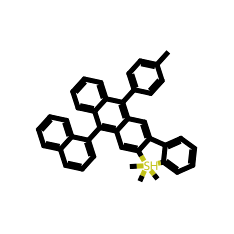 Cc1ccc(-c2c3ccccc3c(-c3cccc4ccccc34)c3cc4c(cc23)-c2ccccc2[SH]4(C)(C)C)cc1